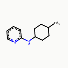 CC1CCC(Nc2ccccn2)CC1